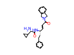 N[C@H](C(=O)N[C@H](C=CC(=O)N1Cc2ccccc2C1)CCc1ccccc1)C1CC1